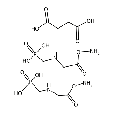 NOC(=O)CNCP(=O)(O)O.NOC(=O)CNCP(=O)(O)O.O=C(O)CCC(=O)O